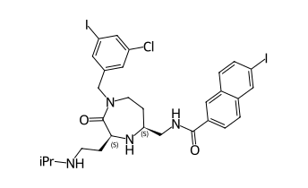 CC(C)NCC[C@@H]1N[C@H](CNC(=O)c2ccc3cc(I)ccc3c2)CCN(Cc2cc(Cl)cc(I)c2)C1=O